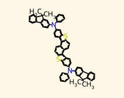 CC1(C)c2ccccc2-c2ccc(N(c3ccccc3)c3ccc4c(c3)sc3ccc5c(ccc6sc7cc(N(c8ccccc8)c8ccc9c(c8)C(C)(C)c8ccccc8-9)ccc7c65)c34)cc21